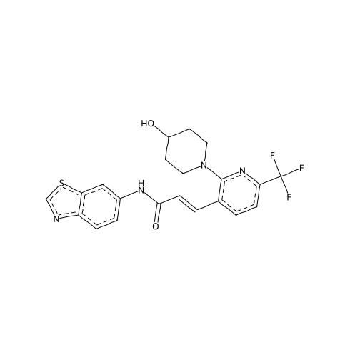 O=C(/C=C/c1ccc(C(F)(F)F)nc1N1CCC(O)CC1)Nc1ccc2ncsc2c1